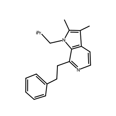 Cc1c(C)n(CC(C)C)c2c(CCc3ccccc3)nccc12